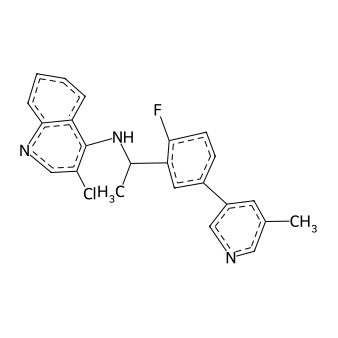 Cc1cncc(-c2ccc(F)c(C(C)Nc3c(Cl)cnc4ccccc34)c2)c1